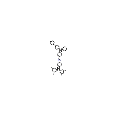 Cc1cc(C)cc(N(c2ccc(/C=C/c3ccc(N(c4ccccc4)c4ccc(-c5ccccc5)cc4)cc3)cc2)c2cc(C)cc(C)c2)c1